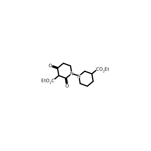 CCOC(=O)C1CCCN(N2CCC(=O)C(C(=O)OCC)C2=O)C1